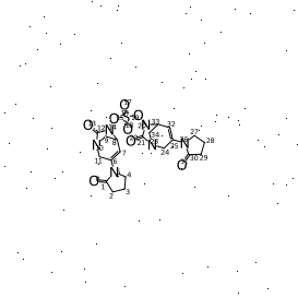 O=C1CCCN1C1=CC2CN(C1)C(=O)N2OS(=O)(=O)ON1C(=O)N2CC(N3CCCC3=O)=CC1C2